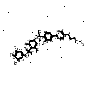 CCCCc1cnc(-c2ccc(C(F)(F)Oc3cc(F)c(C(F)(F)Oc4cc(F)c(F)c(F)c4)c(F)c3)c(F)c2)nc1